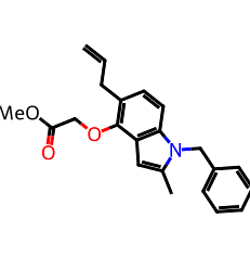 C=CCc1ccc2c(cc(C)n2Cc2ccccc2)c1OCC(=O)OC